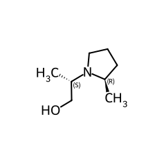 C[C@@H]1CCCN1[C@@H](C)CO